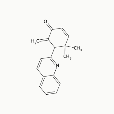 C=C1C(=O)C=CC(C)(C)C1c1ccc2ccccc2n1